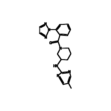 Cc1cnc(NC2CCCN(C(=O)c3ccccc3-n3nccn3)C2)nc1